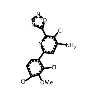 COc1c(Cl)ccc(-c2cc(N)c(Cl)c(-c3ncno3)n2)c1Cl